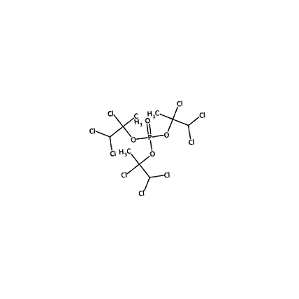 CC(Cl)(OP(=O)(OC(C)(Cl)C(Cl)Cl)OC(C)(Cl)C(Cl)Cl)C(Cl)Cl